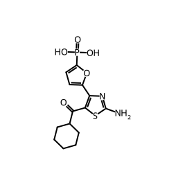 Nc1nc(-c2ccc(P(=O)(O)O)o2)c(C(=O)C2CCCCC2)s1